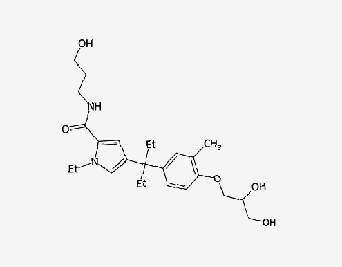 CCn1cc(C(CC)(CC)c2ccc(OCC(O)CO)c(C)c2)cc1C(=O)NCCCO